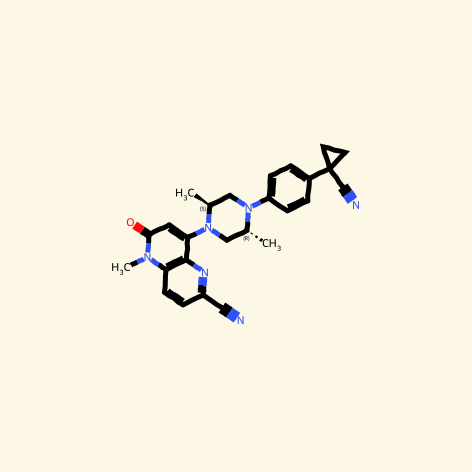 C[C@@H]1CN(c2cc(=O)n(C)c3ccc(C#N)nc23)[C@@H](C)CN1c1ccc(C2(C#N)CC2)cc1